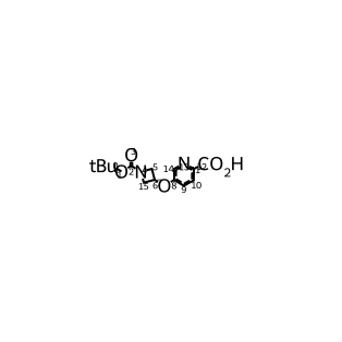 CC(C)(C)OC(=O)N1CC(Oc2ccc(C(=O)O)nc2)C1